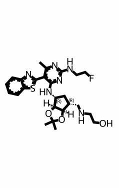 Cc1nc(NCCF)nc(N[C@@H]2C[C@H](CNCCO)[C@H]3OC(C)(C)O[C@H]32)c1-c1nc2ccccc2s1